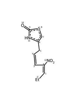 CC/C=C(\C=C/Cc1csc(=O)[nH]1)[N+](=O)[O-]